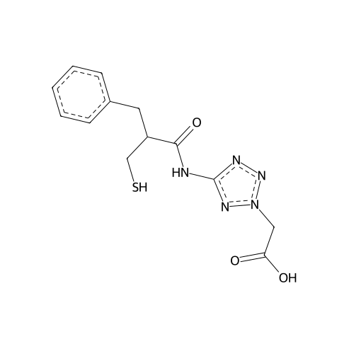 O=C(O)Cn1nnc(NC(=O)C(CS)Cc2ccccc2)n1